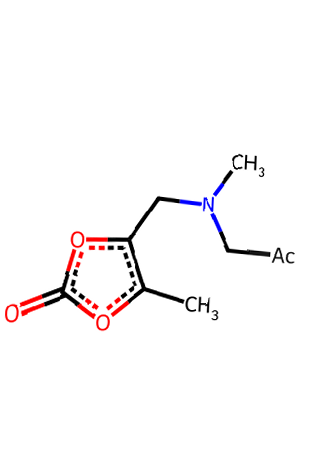 CC(=O)CN(C)Cc1oc(=O)oc1C